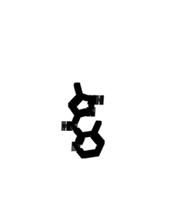 Cc1cc(Nc2ncccc2C)n[nH]1